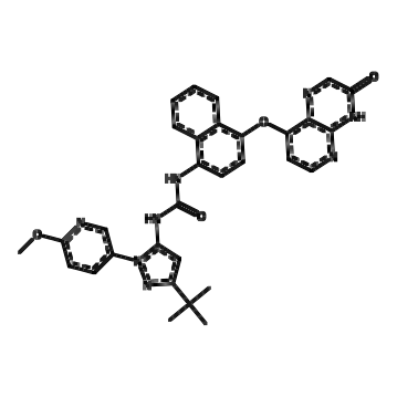 COc1ccc(-n2nc(C(C)(C)C)cc2NC(=O)Nc2ccc(Oc3ccnc4[nH]c(=O)cnc34)c3ccccc23)cn1